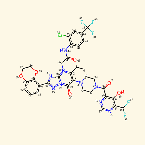 CCc1c(N2CCN(C(=O)c3ncnc(C(F)F)c3O)CC2)c(=O)n2nc(-c3cccc4c3OCCO4)nc2n1CC(=O)Nc1ccc(C(F)(F)F)cc1Cl